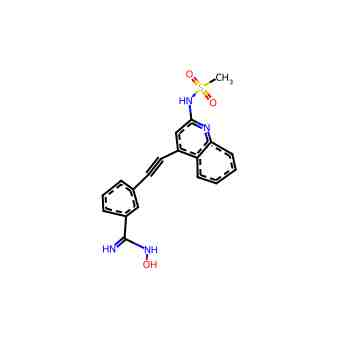 CS(=O)(=O)Nc1cc(C#Cc2cccc(C(=N)NO)c2)c2ccccc2n1